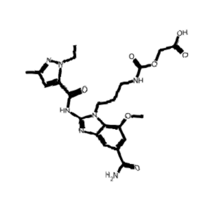 CCn1nc(C)cc1C(=O)Nc1nc2cc(C(N)=O)cc(OC)c2n1CCCNC(=O)OCC(=O)O